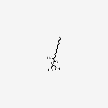 CCCCCCCCCCC(O)C(=O)OC(CO)CO